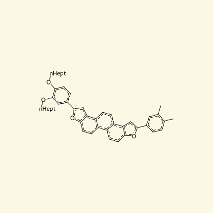 CCCCCCCOc1ccc(-c2cc3c(ccc4c3ccc3c5cc(-c6ccc(C)c(C)c6)oc5ccc34)o2)cc1OCCCCCCC